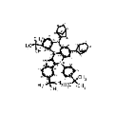 CC(C)(C)c1ccc(N2c3cc(C4CC5CCC4C5)cc4c3B(c3cc(C(C)(C)C)ccc3N4C3CC4CCC3C4)c3sc4ccc(C(C)(C)C)cc4c32)cc1